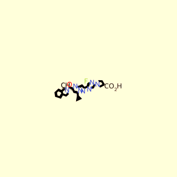 C[C@@H]1c2ccccc2CCN1C(=O)c1cc(C2CC2)n2nc(-c3ncc(N4CCC(C(=O)O)C4)nc3F)cc2n1